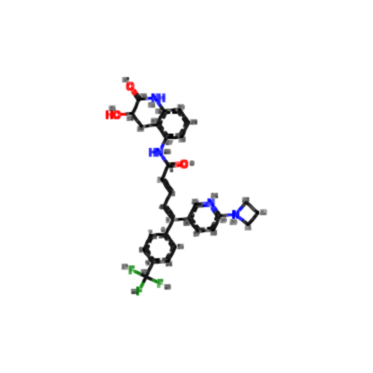 O=C(C=CC=C(c1ccc(C(F)(F)F)cc1)c1ccc(N2CCC2)nc1)Nc1cccc2c1CC(O)C(=O)N2